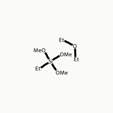 CCOCC.CC[Si](OC)(OC)OC